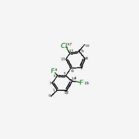 Cc1cc(F)c(-c2ccc(C)c(Cl)c2)c(F)c1